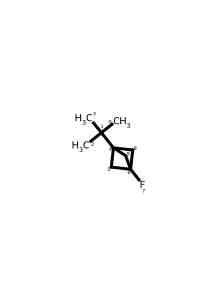 CC(C)(C)C12CC(F)(C1)C2